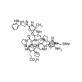 CSCC[C@H](NC(=O)[C@@H]1CCCN1C(=O)[C@H](CCSC)NC(=O)[C@@H]1CCCN1C(=O)[C@H](CCC(=O)O)NC(=O)[C@@H]1CCCN1C(=O)[C@@H](NC(=O)[C@H](CO)NC(=O)[C@H](C)NC(=O)[C@@H](N)Cc1c[nH]c2ccccc12)[C@@H](C)O)C(N)=O